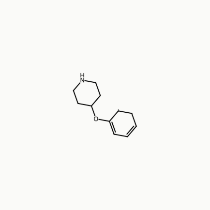 [CH]1CC=CC=C1OC1CCNCC1